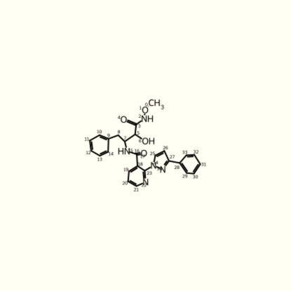 CONC(=O)C(O)C(Cc1ccccc1)NC(=O)c1cccnc1-n1ccc(-c2ccccc2)n1